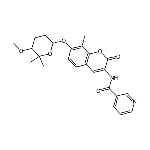 COC1CCC(Oc2ccc3cc(NC(=O)c4cccnc4)c(=O)oc3c2C)OC1(C)C